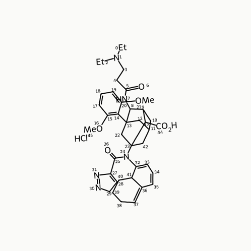 CCN(CC)CCC(=O)NC1C2CC3CC1(c1c(OC)cccc1OC)CC(N(C(=O)C1=CCN=N1)C1=CC=CC4=CCCCC41)(C3)C2C(=O)O.Cl